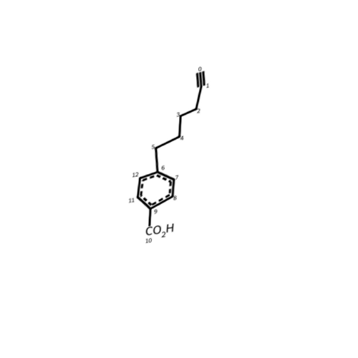 C#CCCCCc1ccc(C(=O)O)cc1